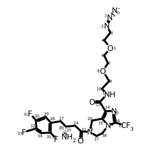 [N-]=[N+]=NCCOCCOCCNC(=O)c1nc(C(F)(F)F)n2c1CN(C(=O)C[C@H](N)Cc1cc(F)c(F)cc1F)CC2